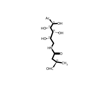 CC(=O)[C@@H](O)[C@@H](O)[C@H](O)[C@@H](O)CNC(=O)C[C@@H](C)C=O